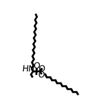 CCCCCCCCCCCCCCCCCC(=O)NC(CC)C(C)(C)C(=O)OCCCCCCCCCCCCCC